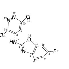 Fc1ccc2nc(Nc3cc(Cl)nnc3Cl)oc2c1